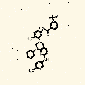 Cc1ccc(Nc2ncc3c(n2)N(c2ccccc2)CN(c2cc(NC(=O)c4cccc(C(F)(F)F)c4)ccc2C)C3)cn1